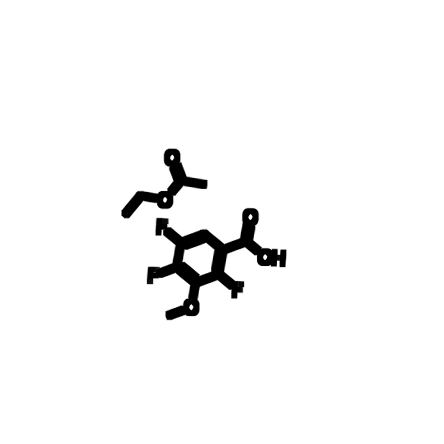 CCOC(C)=O.COc1c(F)c(F)cc(C(=O)O)c1F